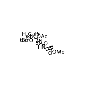 COC(=O)C12C3C4C1C1C2C3C41NC(=O)c1csc([C@@H](C[C@H](C(C)C)N(C)C(=O)OC(C)(C)C)OC(C)=O)n1